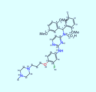 COc1ccc(OC)c(C(c2cc(C)ccc2OC)N(C(=O)O)c2ccnc(Nc3ccc(OCCCN4CCN(C)CC4)c(F)c3)n2)c1